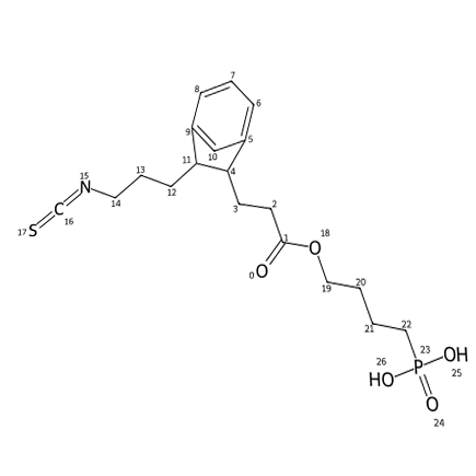 O=C(CCC1c2cccc(c2)C1CCCN=C=S)OCCCCP(=O)(O)O